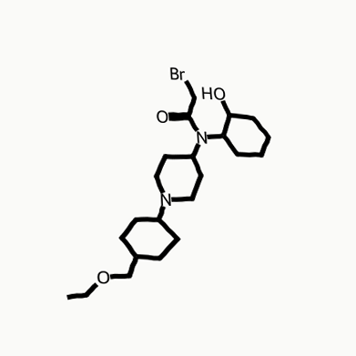 CCOCC1CCC(N2CCC(N(C(=O)CBr)C3CCCCC3O)CC2)CC1